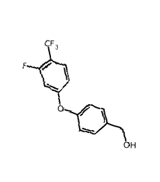 OCc1ccc(Oc2ccc(C(F)(F)F)c(F)c2)cc1